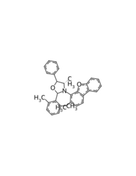 Cc1cccc(C)c1C1OC(c2ccccc2)[C@H](C)N1c1c(C)ccc2c1oc1ccccc12